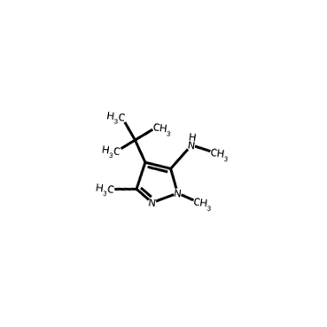 CNc1c(C(C)(C)C)c(C)nn1C